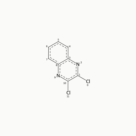 Clc1nc2[c]cccc2nc1Cl